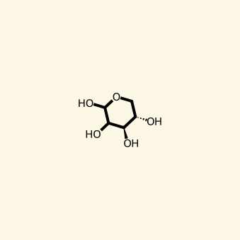 OC1OC[C@H](O)[C@@H](O)C1O